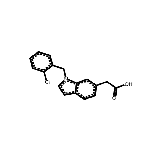 O=C(O)Cc1ccc2ccn(Cc3ccccc3Cl)c2c1